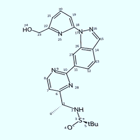 C[C@@H](N[S@+]([O-])C(C)(C)C)c1ccnc(-c2ccc3cnn(-c4cccc(CO)n4)c3c2)n1